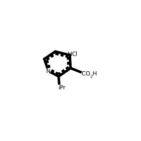 CC(C)c1ncccc1C(=O)O.Cl